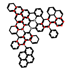 C1=CCCC(C2=CC(C3CCC=C(C4=CC(C5=CCCC=C5)=CCC4)C3N3c4cc(N(c5ccccc5)c5ccc6ccc7cccc8ccc5c6c78)ccc4B4c5ccc(N(C6=C7C=CC=C8C=CC9=CC=CC(=C6)C9C87)c6ccccc6)cc5N(c5c(C6=CC=CC(c7ccccc7)C6)cccc5-c5cccc(C6=CC=CCC6)c5)c5cc(-c6ccccc6)cc3c54)=CCC2)=C1